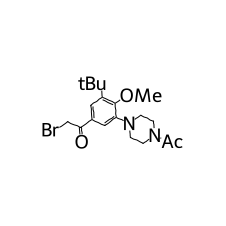 COc1c(N2CCN(C(C)=O)CC2)cc(C(=O)CBr)cc1C(C)(C)C